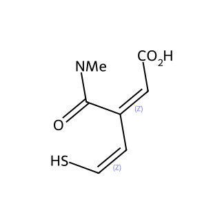 CNC(=O)C(/C=C\S)=C\C(=O)O